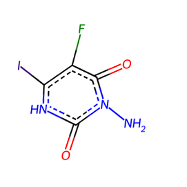 Nn1c(=O)[nH]c(I)c(F)c1=O